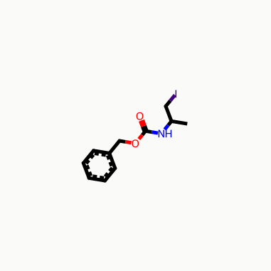 CC(CI)NC(=O)OCc1ccccc1